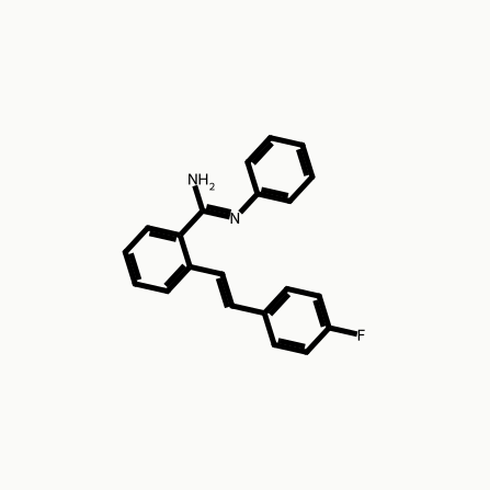 NC(=Nc1ccccc1)c1ccccc1C=Cc1ccc(F)cc1